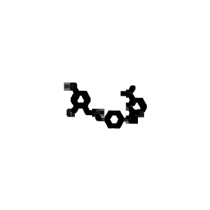 CN(C)c1ccnc(N[C@H]2CC[C@@H](CNCc3ccc(O)cc3Cl)CC2)n1